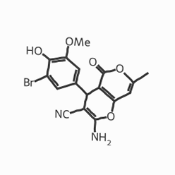 COc1cc(C2C(C#N)=C(N)Oc3cc(C)oc(=O)c32)cc(Br)c1O